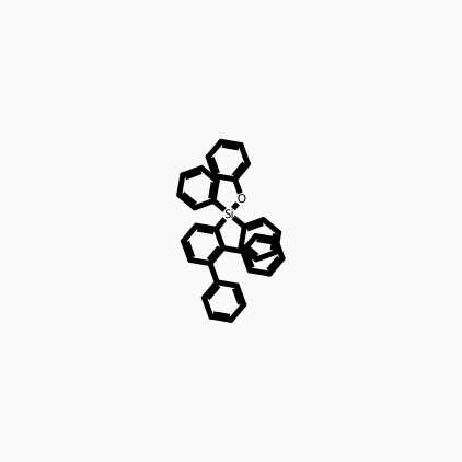 c1ccc(O[Si](c2ccccc2)(c2ccccc2)c2cccc(-c3ccccc3)c2-c2ccccc2)cc1